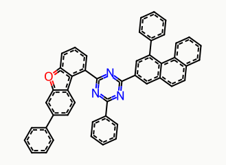 c1ccc(-c2ccc3c(c2)oc2cccc(-c4nc(-c5ccccc5)nc(-c5cc(-c6ccccc6)c6c(ccc7ccccc76)c5)n4)c23)cc1